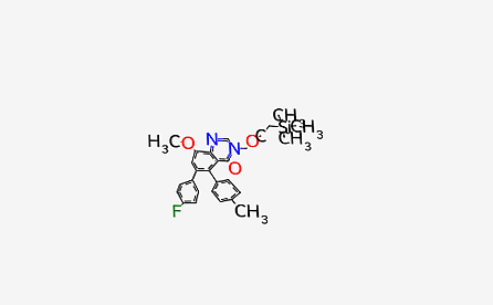 COc1cc(-c2ccc(F)cc2)c(-c2ccc(C)cc2)c2c(=O)n(COCC[Si](C)(C)C)cnc12